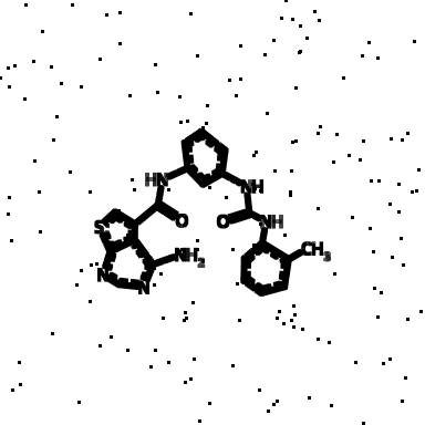 Cc1ccccc1NC(=O)Nc1cccc(NC(=O)c2csc3ncnc(N)c23)c1